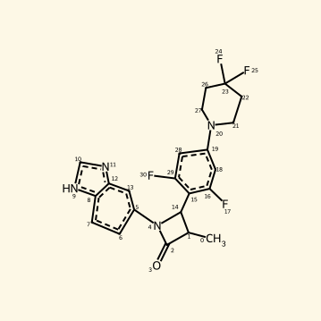 CC1C(=O)N(c2ccc3[nH]cnc3c2)C1c1c(F)cc(N2CCC(F)(F)CC2)cc1F